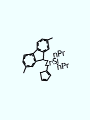 CCC[Si](CCC)=[Zr]([C]1=CC=CC1)[CH]1c2cc(C)ccc2-c2ccc(C)cc21